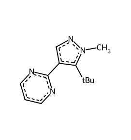 Cn1ncc(-c2ncccn2)c1C(C)(C)C